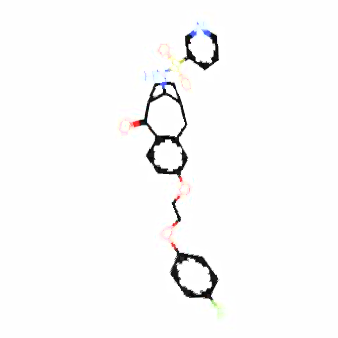 O=C1c2ccc(OCCOc3ccc(F)cc3)cc2CC2CCC1C2NS(=O)(=O)c1cccnc1